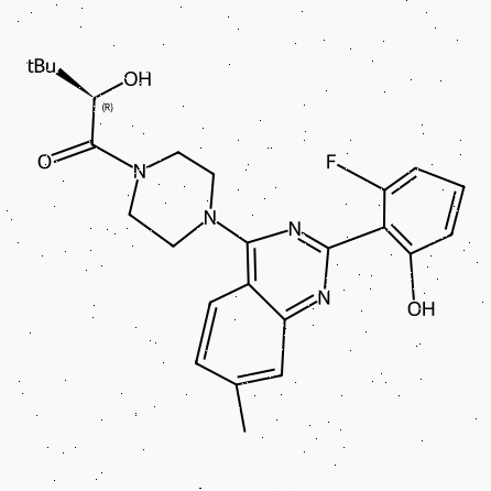 Cc1ccc2c(N3CCN(C(=O)[C@H](O)C(C)(C)C)CC3)nc(-c3c(O)cccc3F)nc2c1